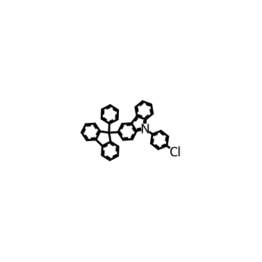 Clc1ccc(-n2c3ccccc3c3cc(C4(c5ccccc5)c5ccccc5-c5ccccc54)ccc32)cc1